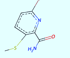 CSc1ccc(Br)nc1C(N)=O